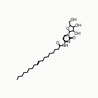 CCCCCCCC/C=C/CCCCCCCC(=O)Nc1ccn(C2OC(CO)C(O)C2O)c(=O)n1